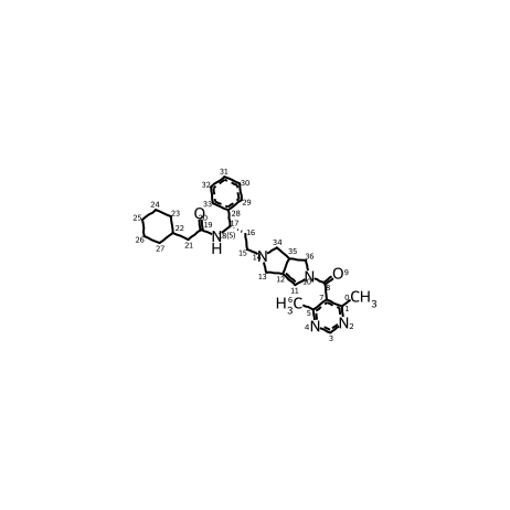 Cc1ncnc(C)c1C(=O)N1C=C2CN(CC[C@H](NC(=O)CC3CCCCC3)c3ccccc3)CC2C1